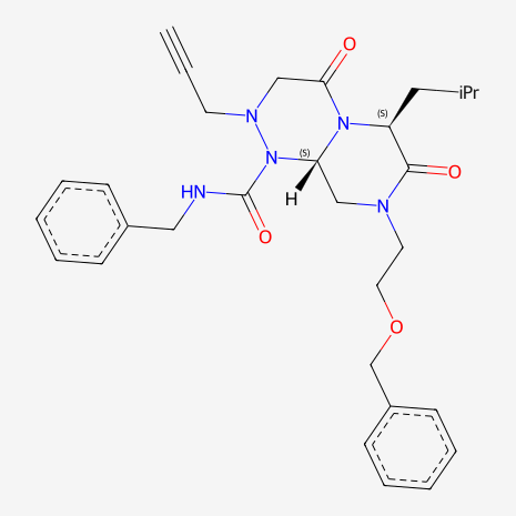 C#CCN1CC(=O)N2[C@@H](CC(C)C)C(=O)N(CCOCc3ccccc3)C[C@@H]2N1C(=O)NCc1ccccc1